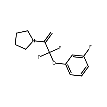 C=C(N1CCCC1)C(F)(F)Oc1cccc(F)c1